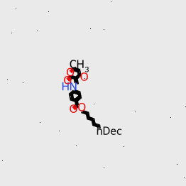 CCCCCCCCCCCCCCCCOC(=O)c1ccc(NC=C2C(=O)C=C(C)OC2=O)cc1